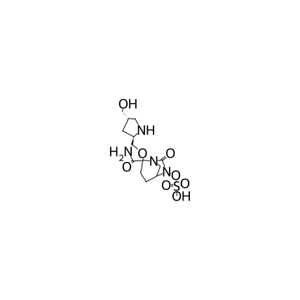 NC(=O)C1(OC[C@H]2C[C@H](CO)CN2)CCC2CN1C(=O)N2OS(=O)(=O)O